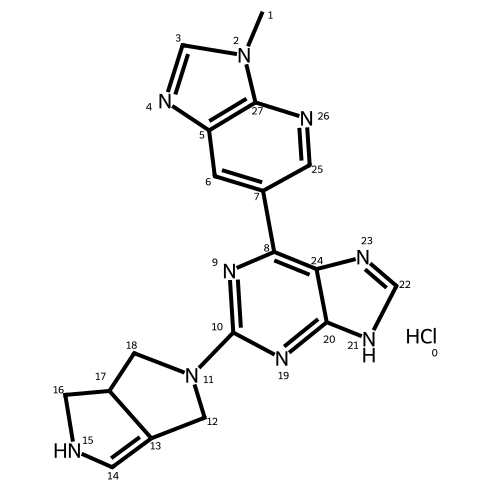 Cl.Cn1cnc2cc(-c3nc(N4CC5=CNCC5C4)nc4[nH]cnc34)cnc21